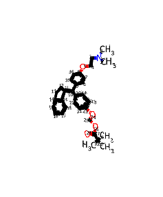 CN(C)CCOc1ccc(C(=C2CCc3ccccc32)c2ccc(OCOC(=O)C(C)(C)C)cc2)cc1